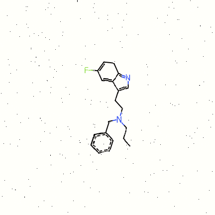 CCCN(CCC1=CN=C2CC=C(F)C=C12)Cc1ccccc1